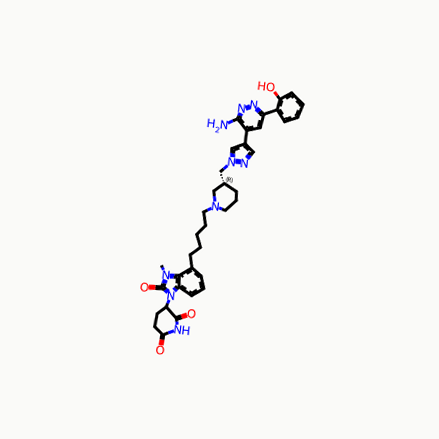 Cn1c(=O)n(C2CCC(=O)NC2=O)c2cccc(CCCCCN3CCC[C@@H](Cn4cc(-c5cc(-c6ccccc6O)nnc5N)cn4)C3)c21